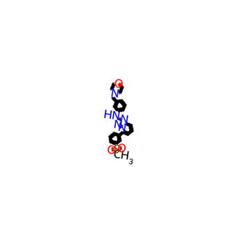 CS(=O)(=O)c1cccc(-c2cccc3nc(Nc4cccc(CN5CCOCC5)c4)nn23)c1